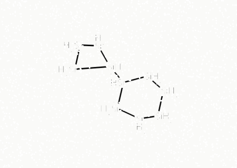 [SiH2]1[SiH2][SiH2][SiH]([SiH]2[SiH2][SiH2][SiH2]2)[SiH2][SiH2]1